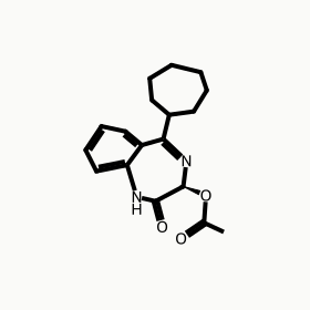 CC(=O)O[C@@H]1N=C(C2CCCCCC2)c2ccccc2NC1=O